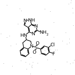 Nc1nc(NC2Cc3ccccc3N(S(=O)(=O)c3ccc(F)c(Cl)c3)C2)c2cn[nH]c2n1